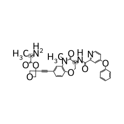 C[C@H](N)C(=O)OC1(C#Cc2ccc3c(c2)N(C)C(=O)[C@@H](NC(=O)c2cc(Oc4ccccc4)ccn2)CO3)COC1